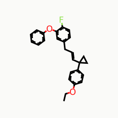 CCOc1ccc(C2(C=CCc3ccc(F)c(Oc4ccccc4)c3)CC2)cc1